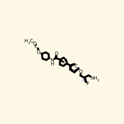 COCCO[C@H]1CC[C@H](NC(=O)C23CCC(c4ccc(OC/C(=C/F)CN)cc4)(CC2)CC3)CC1